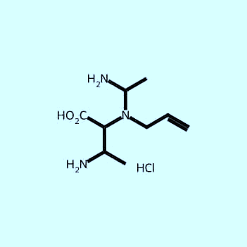 C=CCN(C(C)N)C(C(=O)O)C(C)N.Cl